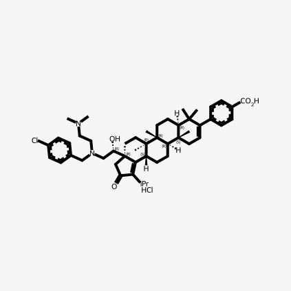 CC(C)C1=C2[C@H]3CC[C@@H]4[C@@]5(C)CC=C(c6ccc(C(=O)O)cc6)C(C)(C)[C@@H]5CC[C@@]4(C)[C@]3(C)CC[C@@]2([C@@H](O)CN(CCN(C)C)Cc2ccc(Cl)cc2)CC1=O.Cl